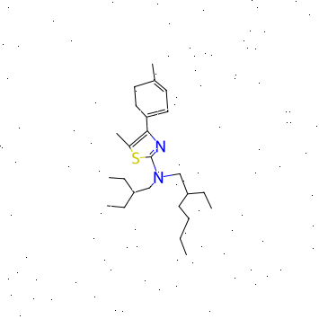 CCCCC(CC)CN(CC(CC)CC)c1nc(C2=CC=C(C)CC2)c(C)s1